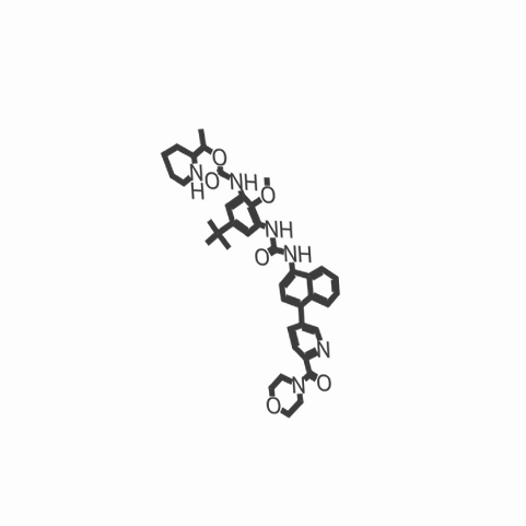 COc1c(NC(=O)Nc2ccc(-c3ccc(C(=O)N4CCOCC4)nc3)c3ccccc23)cc(C(C)(C)C)cc1NC(=O)OC(C)C1CCCCN1